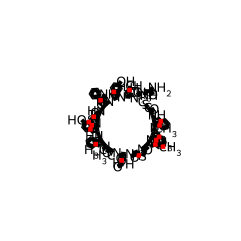 CCCC[C@H]1C(=O)N2CSC[C@@H]2C(=O)N[C@@H](COC=O)C(=O)N[C@@H](C)C(=O)N(C)[C@@H](Cc2ccccc2)C(=O)N[C@@H](Cc2ccc(O)cc2)C(=O)N2CSC[C@@H]2C(=O)N[C@@H](Cc2c[nH]c3ccccc23)C(=O)N[C@@H](Cc2ccc(O)cc2)C(=O)N[C@@H](CC(C)C)C(=O)N[C@H](C(=O)NCC(N)=O)CSCC(=O)N[C@@H](Cc2ccccc2)C(=O)N(C)[C@@H](Cc2ccccc2)C(=O)N1C